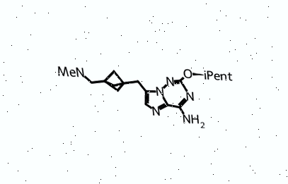 CCC[C@H](C)Oc1nc(N)c2ncc(CC34CC(CNC)(C3)C4)n2n1